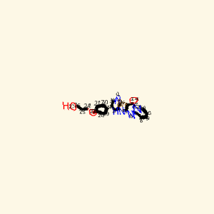 CN1C[C@H](Nc2nc3ccccn3c(=O)c2Br)C[C@H](c2ccc(OCCCO)cc2)C1